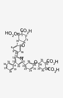 O=C(O)C1CCC(Oc2cccc(-c3cc(-c4ccccc4)cc(-c4cccc(OC5CCC(C(=O)O)C(C(=O)O)C5)c4)n3)c2)CC1C(=O)O